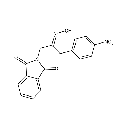 O=C1c2ccccc2C(=O)N1C/C(Cc1ccc([N+](=O)[O-])cc1)=N/O